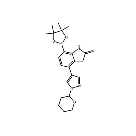 CC1(C)OB(c2ccc(-c3cnn(C4CCCCO4)c3)c3c2NC(=O)C3)OC1(C)C